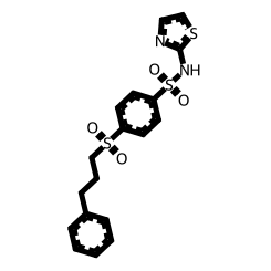 O=S(=O)(CCCc1ccccc1)c1ccc(S(=O)(=O)Nc2nccs2)cc1